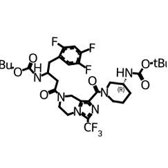 CC(C)(C)OC(=O)NC(CC(=O)N1CCn2c(C(F)(F)F)nc(C(=O)N3CCC[C@@H](NC(=O)OC(C)(C)C)C3)c2C1)Cc1cc(F)c(F)cc1F